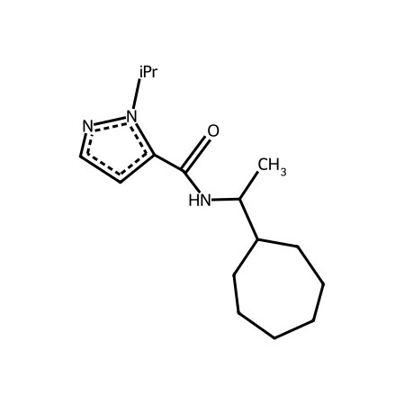 CC(NC(=O)c1ccnn1C(C)C)C1CCCCCC1